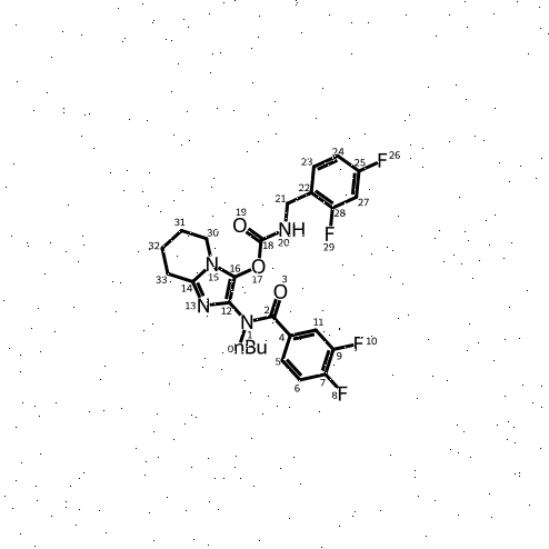 CCCCN(C(=O)c1ccc(F)c(F)c1)c1nc2n(c1OC(=O)NCc1ccc(F)cc1F)CCCC2